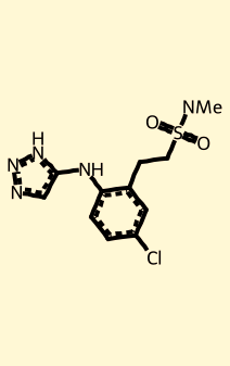 CNS(=O)(=O)CCc1cc(Cl)ccc1Nc1cnn[nH]1